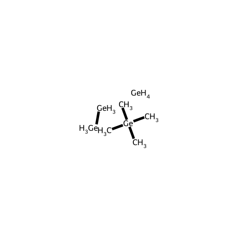 [CH3][Ge]([CH3])([CH3])[CH3].[GeH3][GeH3].[GeH4]